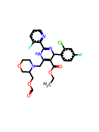 CCOC(=O)C1=C(CN2CCOCC2COC=O)NC(c2ncccc2F)=NC1c1ccc(F)cc1Cl